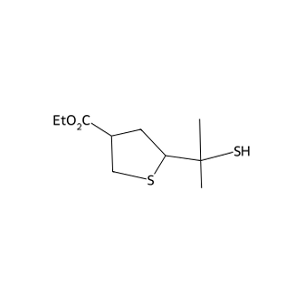 CCOC(=O)C1CSC(C(C)(C)S)C1